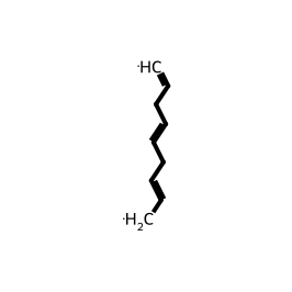 [CH]=CCC=CCC=C[CH2]